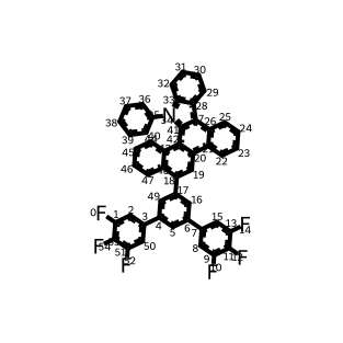 Fc1cc(-c2cc(-c3cc(F)c(F)c(F)c3)cc(-c3cc4c5ccccc5c5c6ccccc6n(-c6ccccc6)c5c4c4ccccc34)c2)cc(F)c1F